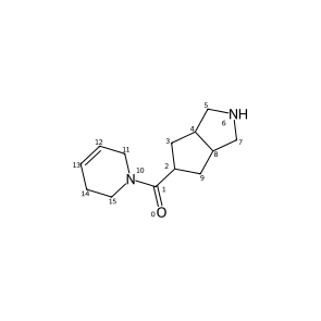 O=C(C1CC2CNCC2C1)N1CC=CCC1